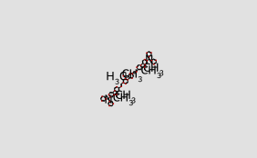 CC1(C)c2cc(/C=C/c3ccc4c(c3)C(C)(C)c3cc(N(c5ccccc5)c5ccccc5)ccc3-4)ccc2-c2ccc(/C=C/c3ccc4c(c3)C(C)(C)c3cc(N(c5ccccc5)c5ccccc5)ccc3-4)cc21